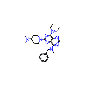 CCN(CC)c1nc(N2CCC(N(C)C)CC2)nc2c(N(C)Cc3ccccc3)ncnc12